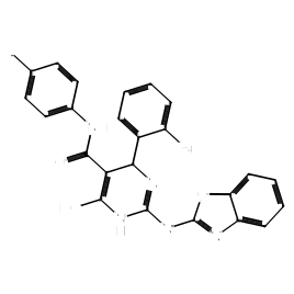 CC1=C(C(=O)Nc2ccc(I)cc2)C(c2ccccc2Br)N=C(Nc2nc3ccccc3o2)N1